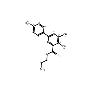 CCCNC(=O)c1nc(-c2ccc(C)cc2)nc(O)c1O